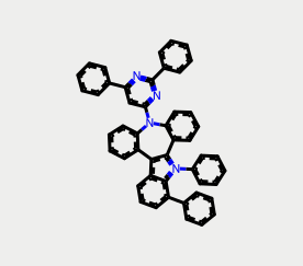 c1ccc(-c2cc(N3c4ccccc4-c4c(n(-c5ccccc5)c5c(-c6ccccc6)cccc45)-c4ccccc43)nc(-c3ccccc3)n2)cc1